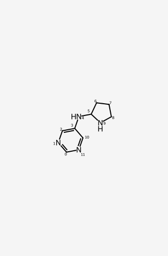 c1ncc(NC2CCCN2)cn1